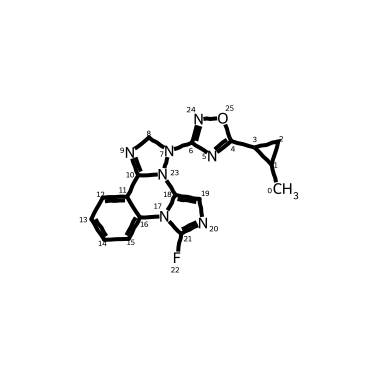 CC1CC1c1nc(N2CN=C3c4ccccc4-n4c(cnc4F)N32)no1